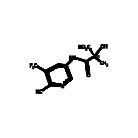 C[C@@](O)(C(=O)O)C(=O)Nc1cnc(C#N)c(C(F)(F)F)c1